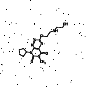 Cn1c(=O)c2nc(OCCNCCO)nnc2n(C2CCCC2)c1=O